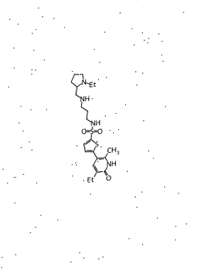 CCc1cc(-c2ccc(S(=O)(=O)NCCCNCC3CCCN3CC)s2)c(C)[nH]c1=O